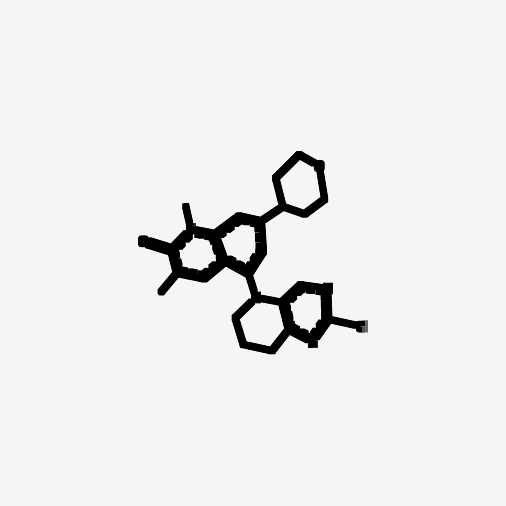 Cc1cc2c(N3CCCc4nc(Cl)ncc43)cc(C3CCOCC3)cc2n(C)c1=O